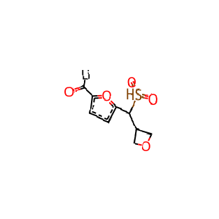 [Li][C](=O)c1ccc(C(C2COC2)[SH](=O)=O)o1